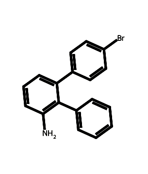 Nc1cccc(-c2ccc(Br)cc2)c1-c1ccccc1